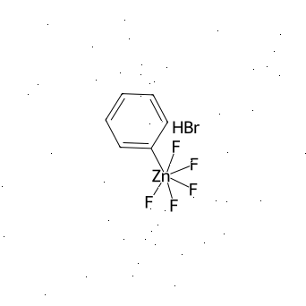 Br.[F][Zn]([F])([F])([F])([F])[c]1ccccc1